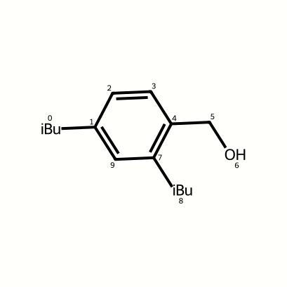 CCC(C)c1ccc(CO)c(C(C)CC)c1